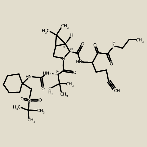 C#CCCC(NC(=O)[C@@H]1[C@@H]2C(CN1C(=O)[C@@H](NC(=O)NC1(CS(=O)(=O)C(C)(C)C)CCCCC1)C(C)(C)C)C2(C)C)C(=O)C(=O)NCCC